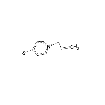 C=CC[n+]1ccc([S])cc1